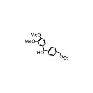 CCOCc1ccc(C(O)c2ccc(OC)c(OC)c2)cc1